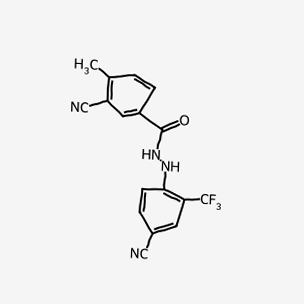 Cc1ccc(C(=O)NNc2ccc(C#N)cc2C(F)(F)F)cc1C#N